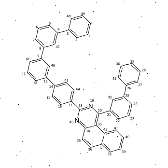 c1ccc(-c2cccc(-c3cccc(-c4ccc(-c5nc(-c6cccc(-c7ccccc7)c6)c6c(ccc7ccccc76)n5)cc4)c3)c2)cc1